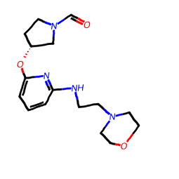 O=CN1CC[C@@H](Oc2cccc(NCCN3CCOCC3)n2)C1